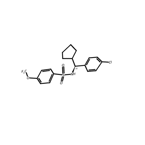 O=S(=O)(N[C@H](c1ccc(Cl)cc1)C1CCCC1)c1ccc(OC(F)(F)F)cc1